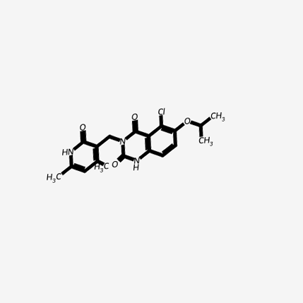 Cc1cc(C)c(Cn2c(=O)[nH]c3ccc(OC(C)C)c(Cl)c3c2=O)c(=O)[nH]1